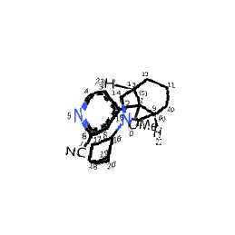 COC1(c2ccnc(C#N)c2)[C@@H]2CCC[C@H]1CN(C13CC(C1)C3)C2